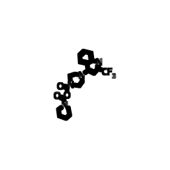 O=C(OC(=O)N1CCN(c2cc(C(F)(F)F)nc3ccccc23)CC1)N1CCCCC1